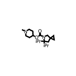 CC(C)C1(C(C)C)CC2(CC2)CN1C(=O)OC1CCN(C)CC1